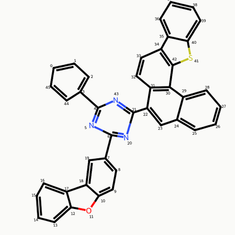 c1ccc(-c2nc(-c3ccc4oc5ccccc5c4c3)nc(-c3cc4ccccc4c4c3ccc3c5ccccc5sc34)n2)cc1